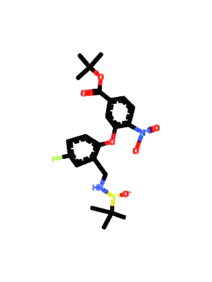 CC(C)(C)OC(=O)c1ccc([N+](=O)[O-])c(Oc2ccc(F)cc2CN[S+]([O-])C(C)(C)C)c1